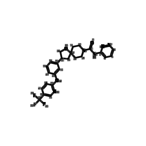 O=C(Nc1cccnn1)N1CCC2(CC1)CC(c1cccc(Oc3ccc(C(F)(F)F)cn3)c1)CO2